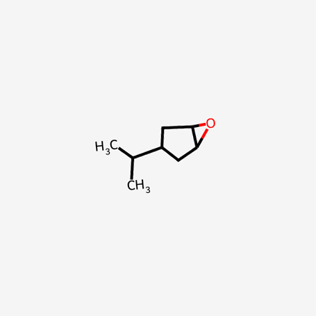 CC(C)C1CC2OC2C1